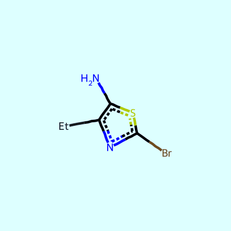 [CH2]Cc1nc(Br)sc1N